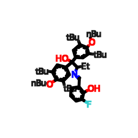 CCCCOc1c(C(C)(C)C)cc(C(O)(c2cc(C(C)(C)C)c(OCCCC)c(C(C)(C)C)c2)C(CC)N=Cc2cccc(F)c2O)cc1C(C)(C)C